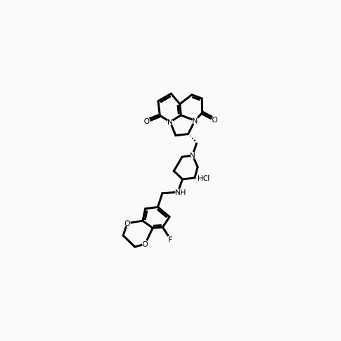 Cl.O=c1ccc2ccc(=O)n3c2n1C[C@H]3CN1CCC(NCc2cc(F)c3c(c2)OCCO3)CC1